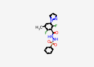 Cc1cc(-n2cccn2)c(F)c(C(=O)NNS(=O)(=O)c2ccccc2)c1F